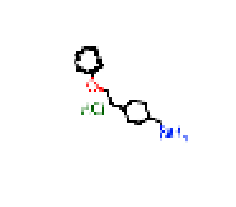 Cl.NCC1CCC(CCOc2ccccc2)CC1